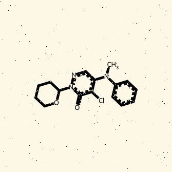 CN(c1ccccc1)c1cnn(C2CCCCO2)c(=O)c1Cl